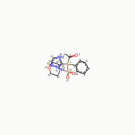 CC(=O)S(c1ccccc1)(c1nnc[nH]1)S(=O)(=O)N1CCOCC1